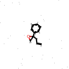 C=CCC1(c2ccccc2)CO1